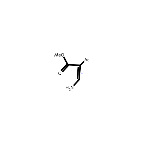 COC(=O)/C(=C\N)C(C)=O